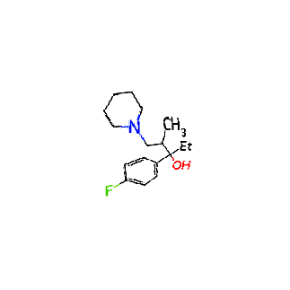 CCC(O)(c1ccc(F)cc1)C(C)CN1CCCCC1